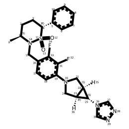 C[C@H]1CC[C@H](c2ccccc2)S(=O)(=O)N1Cc1ccc(N2C[C@@H]3[C@H](C2)[C@H]3n2cnnc2)c(F)c1F